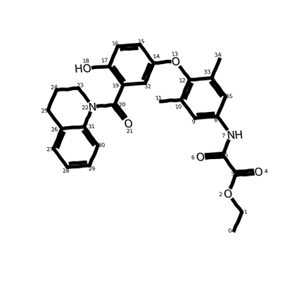 CCOC(=O)C(=O)Nc1cc(C)c(Oc2ccc(O)c(C(=O)N3CCCc4ccccc43)c2)c(C)c1